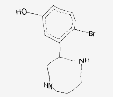 Oc1ccc(Br)c(C2CNCCN2)c1